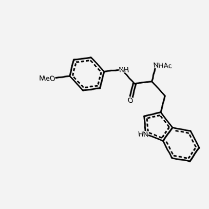 COc1ccc(NC(=O)C(Cc2c[nH]c3ccccc23)NC(C)=O)cc1